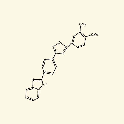 COc1ccc(-c2nc(-c3ccc(-c4nc5ccccc5[nH]4)cc3)no2)cc1OC